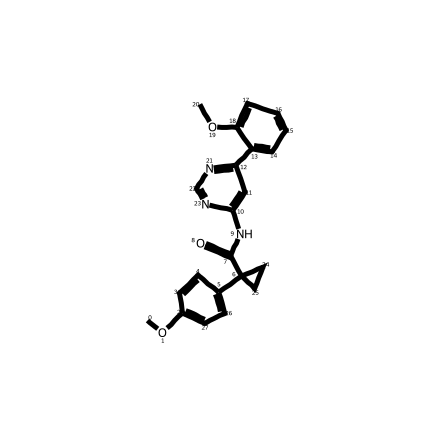 COc1ccc(C2(C(=O)Nc3cc(-c4ccccc4OC)ncn3)CC2)cc1